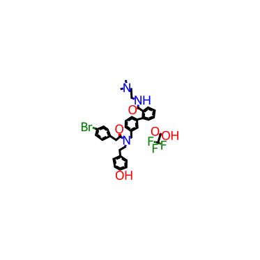 CN(C)CCNC(=O)c1ccccc1-c1cccc(CN(CCc2ccc(O)cc2)C(=O)Cc2ccc(Br)cc2)c1.O=C(O)C(F)(F)F